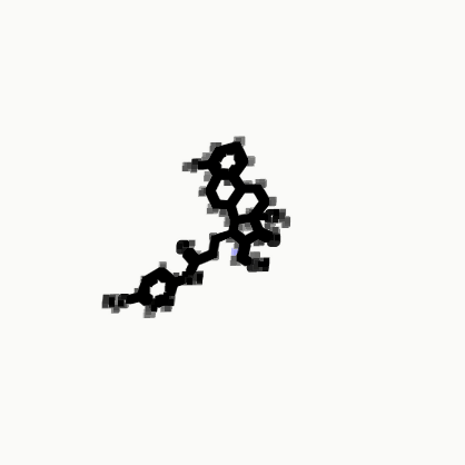 Cc1ccc(NC(=O)CC[C@@H]2/C(=C/O)C(=O)[C@@]3(C)CCC4c5cccc(F)c5CCC4C23)nn1